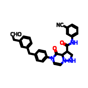 N#Cc1cccc(NC(=O)C2CNN3C=CN(c4ccc(Cc5cccc(CC=O)c5)cc4)C(=O)C23)c1